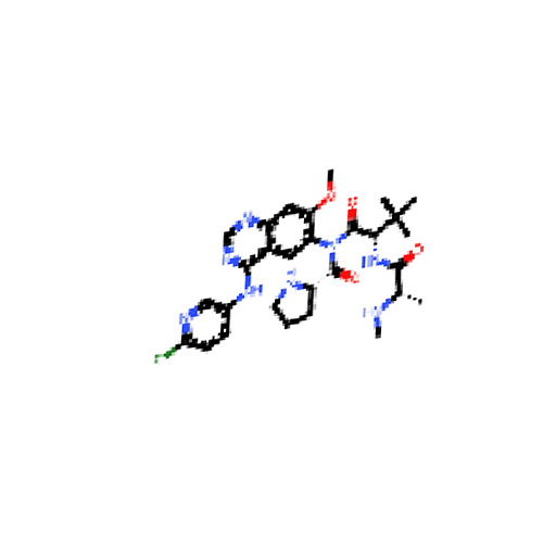 CN[C@@H](C)C(=O)N[C@H](C(=O)N(C(=O)[C@@H]1CCCN1)c1cc2c(Nc3ccc(Cl)nc3)ncnc2cc1OC)C(C)(C)C